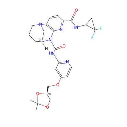 CC1(C)OC[C@H](COc2ccnc(NC(=O)N3c4nc(C(=O)NC5CC5(F)F)ccc4N4CCC[C@H]3C4)c2)O1